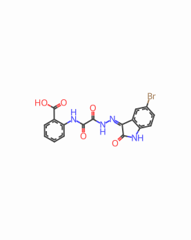 O=C(NN=C1C(=O)Nc2ccc(Br)cc21)C(=O)Nc1ccccc1C(=O)O